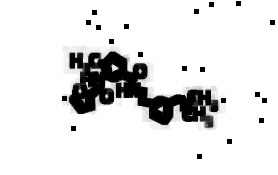 Cc1ccc(C(=O)NCCc2cccc(CN(C)C)c2)cc1NC(=O)c1ccco1